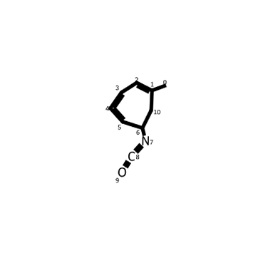 CC1=CC=C=CC(N=C=O)C1